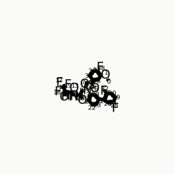 COc1cc(S(=O)(=O)N2CC(NC(=O)C(O)C(F)(F)F)Oc3ccc(-c4cc(F)ccc4F)cc32)ccc1F